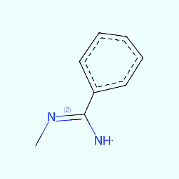 C/N=C(\[NH])c1ccccc1